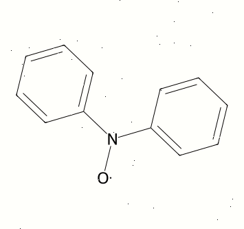 [O]N(c1ccccc1)c1ccccc1